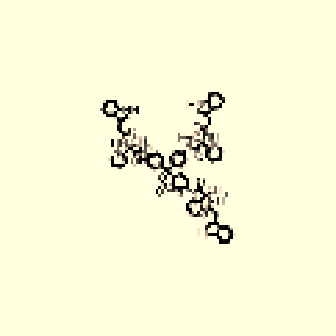 C[C@](NC(=O)Cc1c[nH]c2ccccc12)(C(=O)Nc1ccc(C(OC(=O)C(F)(F)F)(c2ccc(NC(=O)[C@](C)(NC(=O)Cc3c[nH]c4ccccc34)c3ccccn3)cc2)c2ccc(NC(=O)[C@](C)(NC(=O)Cc3c[nH]c4ccccc34)c3ccccn3)cc2)cc1)c1ccccn1